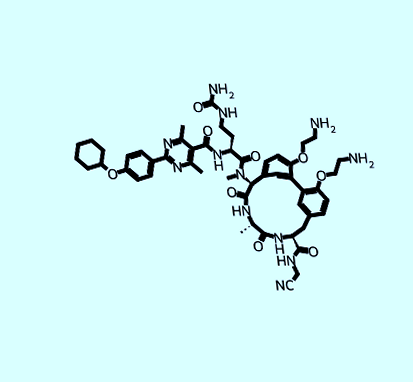 Cc1nc(-c2ccc(OC3CCCCC3)cc2)nc(C)c1C(=O)N[C@@H](CCNC(N)=O)C(=O)N(C)[C@@H]1C(=O)N[C@@H](C)C(=O)N[C@H](C(=O)NCC#N)Cc2ccc(OCCN)c(c2)-c2cc1ccc2OCCN